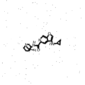 O=C(N[C@H]1CN2CCC1CC2)c1cc2c(NC3CC3)coc2cn1